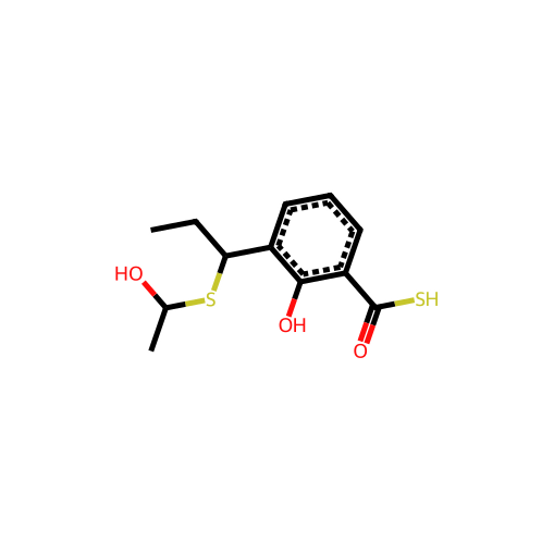 CCC(SC(C)O)c1cccc(C(=O)S)c1O